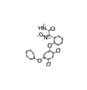 CNC(=O)/C(=N\OC)c1ccccc1Oc1cc(Oc2ccccc2)c(Cl)cc1Cl